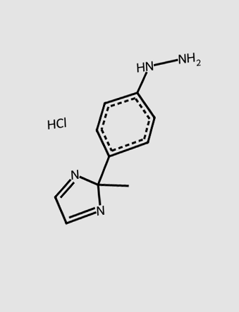 CC1(c2ccc(NN)cc2)N=CC=N1.Cl